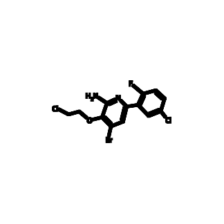 Nc1nc(-c2cc(Cl)ccc2F)cc(Br)c1OCCCl